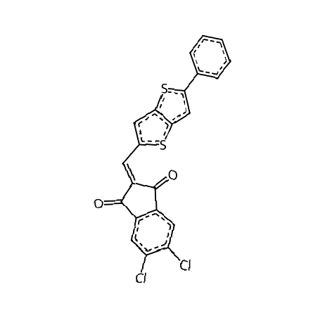 O=C1C(=Cc2cc3sc(-c4ccccc4)cc3s2)C(=O)c2cc(Cl)c(Cl)cc21